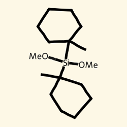 CO[Si](OC)(C1(C)CCCCC1)C1(C)CCCCC1